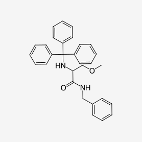 COCC(NC(c1ccccc1)(c1ccccc1)c1ccccc1)C(=O)NCc1ccccc1